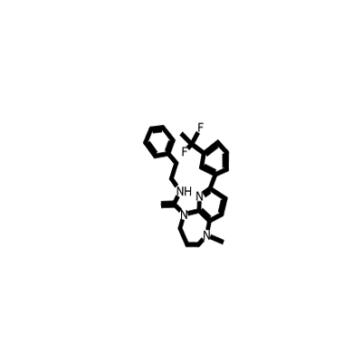 C=C(NCCc1ccccc1)N1CCCN(C)c2ccc(-c3cccc(C(C)(F)F)c3)nc21